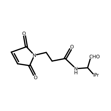 CC(C)C(C=O)NC(=O)CCN1C(=O)C=CC1=O